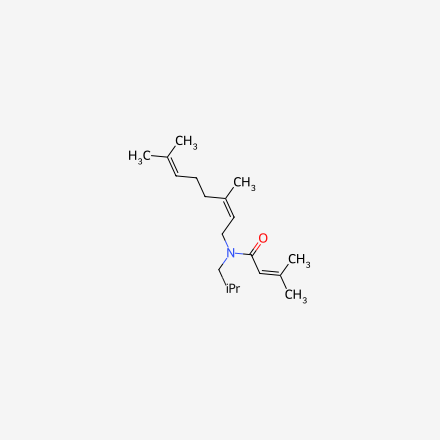 CC(C)=CCC/C(C)=C\CN(CC(C)C)C(=O)C=C(C)C